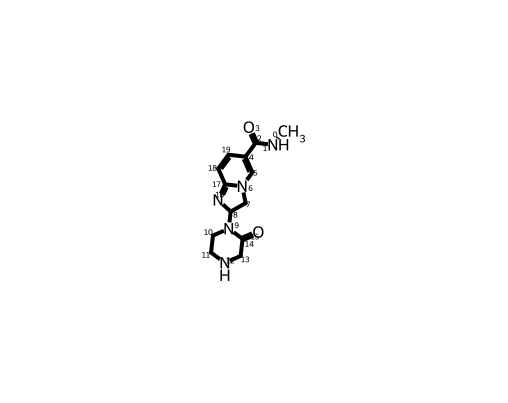 CNC(=O)C1=CN2CC(N3CCNCC3=O)N=C2C=C1